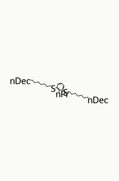 [CH2]CCc1c(SCCCCCCCCCCCCCCCCC)cccc1SCCCCCCCCCCCCCCCCC